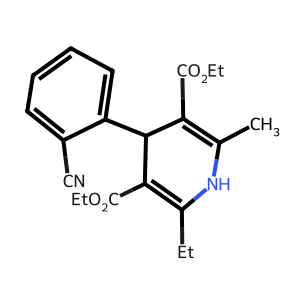 CCOC(=O)C1=C(C)NC(CC)=C(C(=O)OCC)C1c1ccccc1C#N